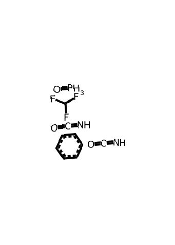 FC(F)F.N=C=O.N=C=O.O=[PH3].c1ccccc1